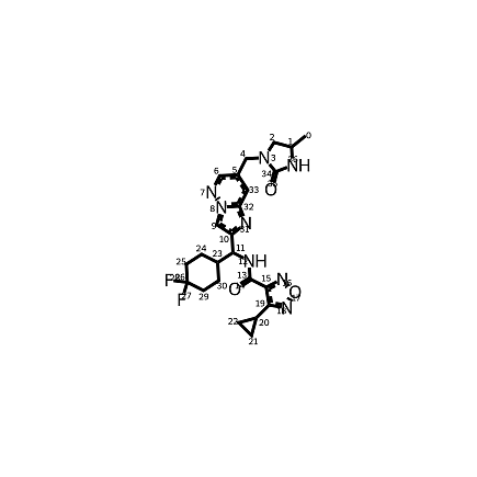 CC1CN(Cc2cnn3cc(C(NC(=O)c4nonc4C4CC4)C4CCC(F)(F)CC4)nc3c2)C(=O)N1